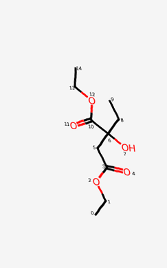 CCOC(=O)CC(O)(CC)C(=O)OCC